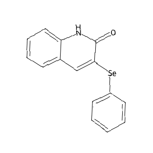 O=c1[nH]c2ccccc2cc1[Se]c1ccccc1